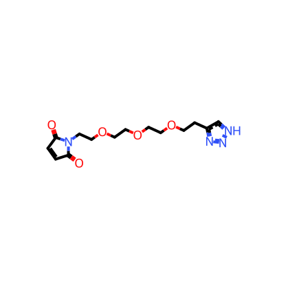 O=C1C=CC(=O)N1CCOCCOCCOCCc1c[nH]nn1